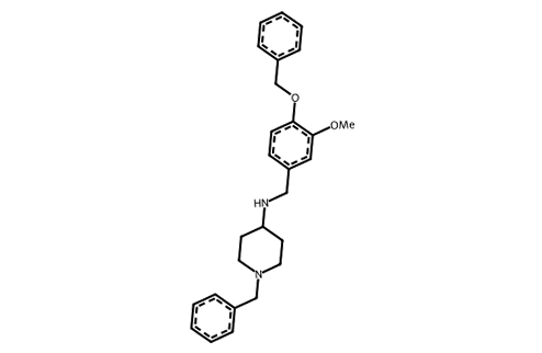 COc1cc(CNC2CCN(Cc3ccccc3)CC2)ccc1OCc1ccccc1